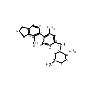 Cc1cc(N[C@@H]2CN(C)CC[C@H]2C)nnc1-c1ccc2c(c1O)CCC2